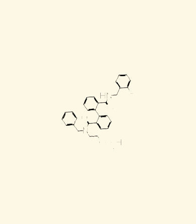 O=C(O)CCN(Cc1ccccc1)C(=O)c1ccccc1-c1ccccc1C(=O)NCc1ccccc1F